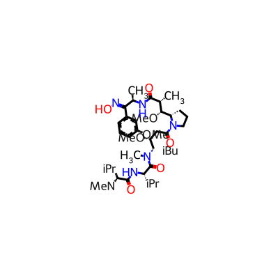 CC[C@H](C)[C@@H]([C@@H](CC(=O)N1CCC[C@H]1[C@H](OC)[C@@H](C)C(=O)N[C@H](C)/C(=N/O)c1cccc(OC)c1)OC)N(C)C(=O)[C@@H](NC(=O)[C@@H](NC)C(C)C)C(C)C